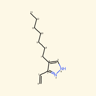 C=Cc1n[nH]cc1CCCCCCC